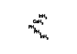 P.P.[GaH3].[InH3].[InH3]